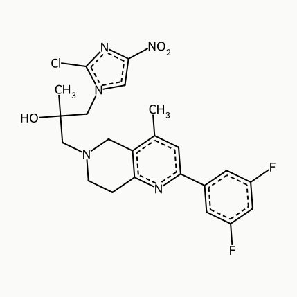 Cc1cc(-c2cc(F)cc(F)c2)nc2c1CN(CC(C)(O)Cn1cc([N+](=O)[O-])nc1Cl)CC2